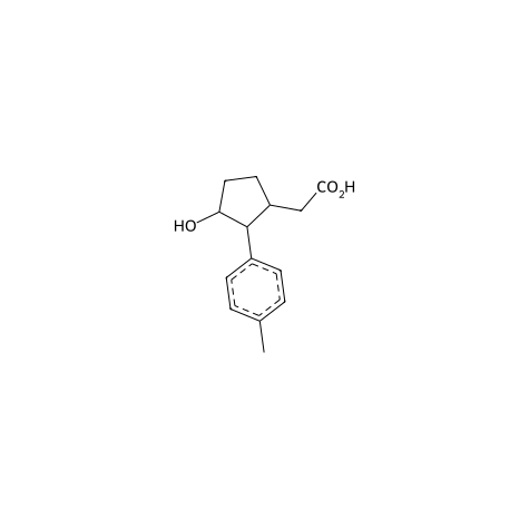 Cc1ccc(C2C(O)CCC2CC(=O)O)cc1